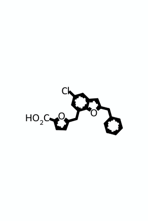 O=C(O)c1ccc(Cc2cc(Cl)cc3cc(Cc4ccccc4)oc23)o1